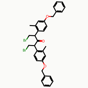 Cc1cc(OCc2ccccc2)ccc1C(CBr)C(=O)C(CBr)c1ccc(OCc2ccccc2)cc1C